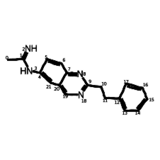 CC(=N)Nc1ccc2nc(CCc3ccccc3)ncc2c1